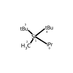 CC(C)[Si](C)(C(C)(C)C)C(C)(C)C